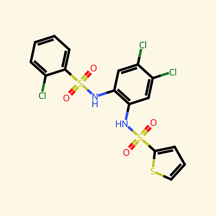 O=S(=O)(Nc1cc(Cl)c(Cl)cc1NS(=O)(=O)c1ccccc1Cl)c1cccs1